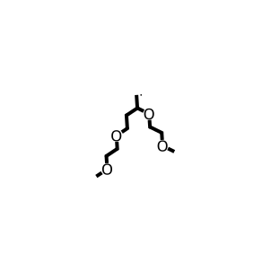 [CH2]C(CCOCCOC)OCCOC